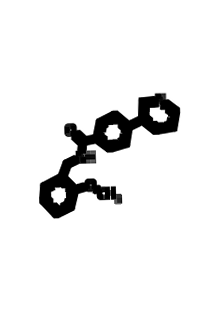 COc1ccccc1CNC(=O)c1ccc(-c2cccnc2)cc1